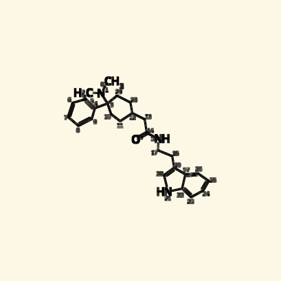 CN(C)C1(c2ccccc2)CCC(CC(=O)NCCc2c[nH]c3ccccc23)CC1